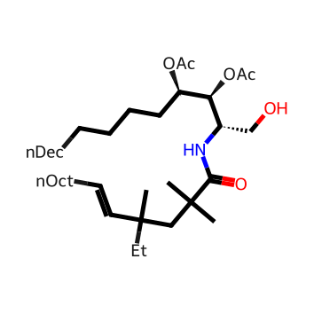 CCCCCCCC/C=C/C(C)(CC)CC(C)(C)C(=O)N[C@@H](CO)[C@H](OC(C)=O)[C@@H](CCCCCCCCCCCCCC)OC(C)=O